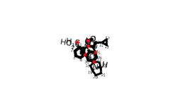 Cc1ccccc1-c1noc(C2CC2)c1COC1CC2CC[C@@H](C1)N2c1ccc2c(c1)cc(C(=O)O)n2C